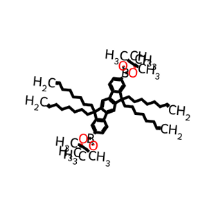 C=CCCCCCCC1(CCCCCCC=C)c2cc(B3OC(C)(C)C(C)(C)O3)ccc2-c2cc3c(cc21)-c1ccc(B2OC(C)(C)C(C)(C)O2)cc1C3(CCCCCCC=C)CCCCCCC=C